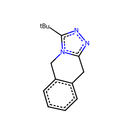 CC(C)(C)c1nnc2n1Cc1ccccc1C2